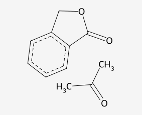 CC(C)=O.O=C1OCc2ccccc21